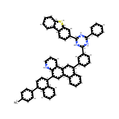 N#Cc1ccc(-c2ccc(-c3cc4c5ccccc5c(-c5cccc(-c6nc(-c7ccccc7)nc(-c7ccc8c(c7)sc7ccccc78)n6)c5)cc4c4cccnc34)c3ccccc23)cc1